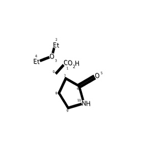 CC(=O)O.CCOCC.O=C1CCCN1